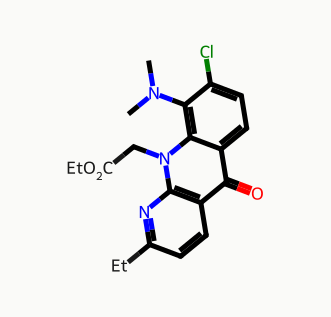 CCOC(=O)Cn1c2nc(CC)ccc2c(=O)c2ccc(Cl)c(N(C)C)c21